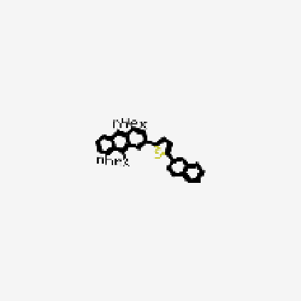 CCCCCCc1c2ccccc2c(CCCCCC)c2cc(-c3ccc(-c4ccc5ccccc5c4)s3)ccc12